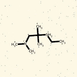 CC[SiH2]C(C)(C)CN(C)C